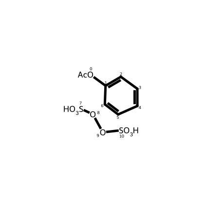 CC(=O)Oc1ccccc1.O=S(=O)(O)OOS(=O)(=O)O